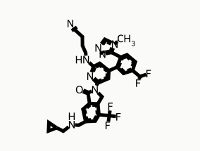 Cn1cnnc1-c1ccc(C(F)F)cc1-c1cc(NCCCC#N)nc(N2Cc3c(cc(CNCC4CC4)cc3C(F)(F)F)C2=O)c1